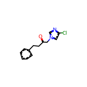 O=C(CCc1ccccc1)Cn1cnc(Cl)c1